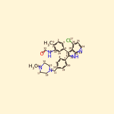 Cc1ccc(-c2c(-c3ccc(CN4CCN(C)CC4)cc3)[nH]c3nccc(Cl)c23)cc1NC=O